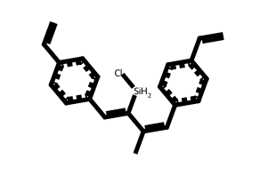 C=Cc1ccc(C=C(C)C(=Cc2ccc(C=C)cc2)[SiH2]Cl)cc1